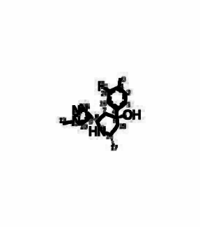 Cc1ccc([C@@]2(O)C[C@@H](c3cn(C)nn3)N[C@@H](C)C2)cc1F